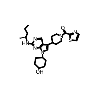 CCC[C@H](C)Nc1ncc2c(C3CCN(C(=O)c4nccs4)CC3)cn(C3CCC(O)CC3)c2n1